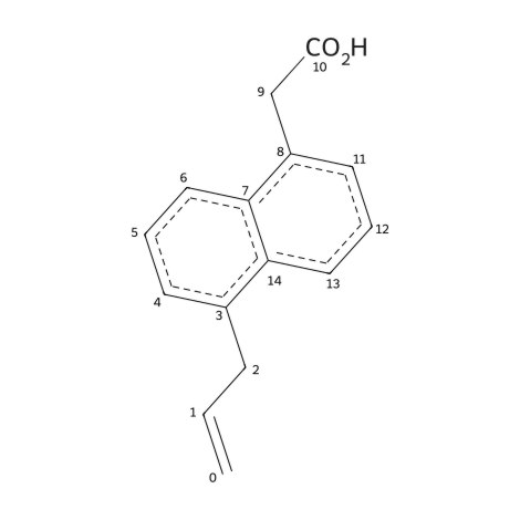 C=CCc1cccc2c(CC(=O)O)cccc12